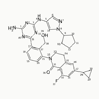 Nc1nc(Nc2cnn(C3CCCC3)c2)nc(-c2cccc(N3CCc4cc(C5CC5)cc(F)c4C3=O)c2CO)n1